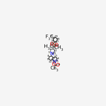 CC(C)(C1CCN(c2cccc3c2ccc[n+]3OC(=O)C(F)(F)F)CC1)S(=O)(=O)c1cccc(C(F)(F)F)c1